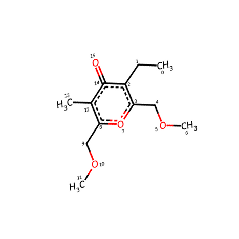 CCc1c(COC)oc(COC)c(C)c1=O